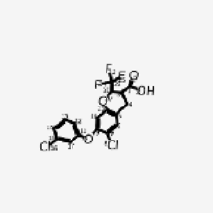 O=C(O)C1Cc2cc(Cl)c(Oc3cccc(Cl)c3)cc2OC1C(F)(F)F